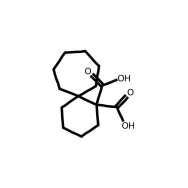 O=C(O)C1(C(=O)O)CCCCC12CCCCCC2